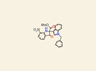 COC(=O)C1(c2cn(Cc3ccccc3)c3ccccc23)Nc2c(cccc2[N+](=O)[O-])C1=O